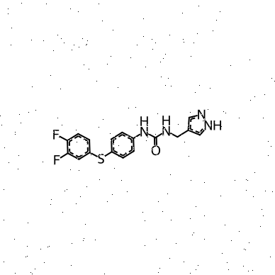 O=C(NCc1cn[nH]c1)Nc1ccc(Sc2ccc(F)c(F)c2)cc1